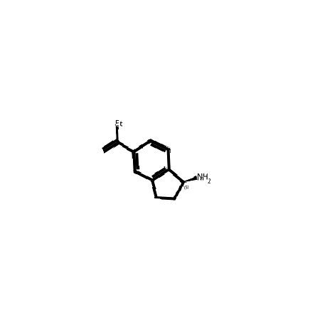 C=C(CC)c1ccc2c(c1)CC[C@@H]2N